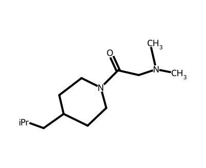 CC(C)CC1CCN(C(=O)CN(C)C)CC1